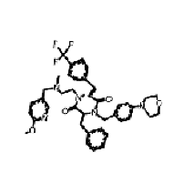 COc1ccc(CN(C)CCN(C)C(=O)C(Cc2ccccc2)N(Cc2ccc(N3CCOCC3)cc2)C(=O)C=Cc2ccc(C(F)(F)F)cc2)cn1